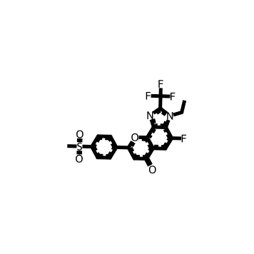 CCn1c(C(F)(F)F)nc2c3oc(-c4ccc(S(C)(=O)=O)cc4)cc(=O)c3cc(F)c21